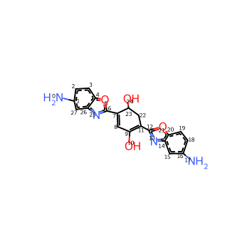 Nc1ccc2oc(C3=CC(O)=C(c4nc5cc(N)ccc5o4)CC3O)nc2c1